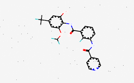 O=C(Nc1cccc(C(=O)Nc2c(O)cc(C(F)(C(F)(F)F)C(F)(F)F)cc2OC(F)F)c1F)c1ccncc1